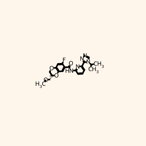 COC[C@@H]1COc2cc(F)c(C(=O)Nc3cccc(-c4nncn4C(C)C)n3)cc2O1